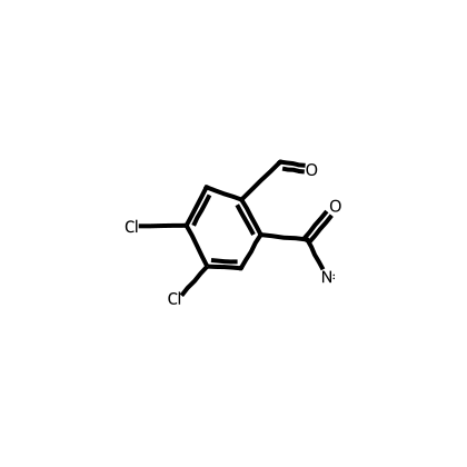 [N]C(=O)c1cc(Cl)c(Cl)cc1C=O